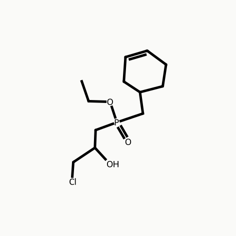 CCOP(=O)(CC(O)CCl)CC1CC=CCC1